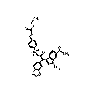 CCOC(=O)CCc1ccc(S(=O)(=O)NC(=O)C(c2ccc3c(c2)OCO3)c2cn(C)c3cc(C(N)=O)ccc23)cc1